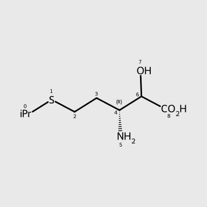 CC(C)SCC[C@@H](N)C(O)C(=O)O